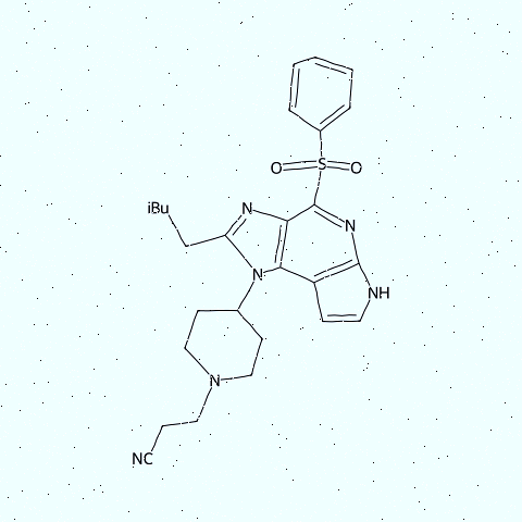 CCC(C)Cc1nc2c(S(=O)(=O)c3ccccc3)nc3[nH]ccc3c2n1C1CCN(CCC#N)CC1